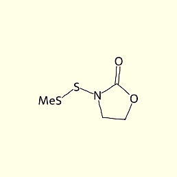 CSSN1CCOC1=O